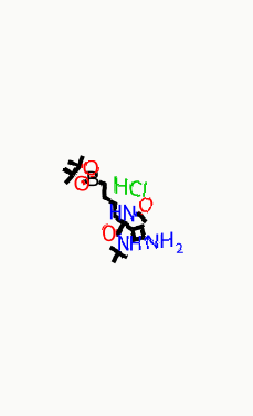 CC(=O)NC(CCCCB1OC(C)(C)C(C)(C)O1)(C(=O)NC(C)(C)C)C1CC(N)C1.Cl